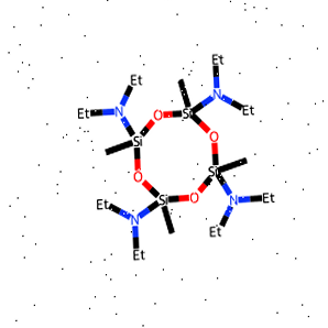 CCN(CC)[Si]1(C)O[Si](C)(N(CC)CC)O[Si](C)(N(CC)CC)O[Si](C)(N(CC)CC)O1